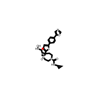 O=C(CC1(c2ccc(-c3ccc(-c4cnco4)cc3)s2)CCN(C(=O)NC2CC2)CCS1(=O)=O)NO